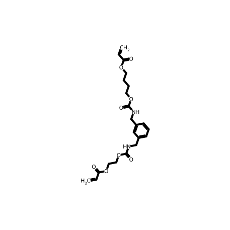 C=CC(=O)OCCCCOC(=O)NCc1cccc(CNC(=O)OCCOC(=O)C=C)c1